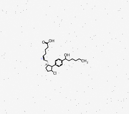 CCCCCC(O)c1ccc(C2C(Cl)CC[C@@H]2C/C=C\CCCC(=O)O)cc1